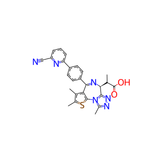 Cc1sc2c(c1C)C(c1ccc(-c3cccc(C#N)n3)cc1)=N[C@@H](C(C)C(=O)O)c1nnc(C)n1-2